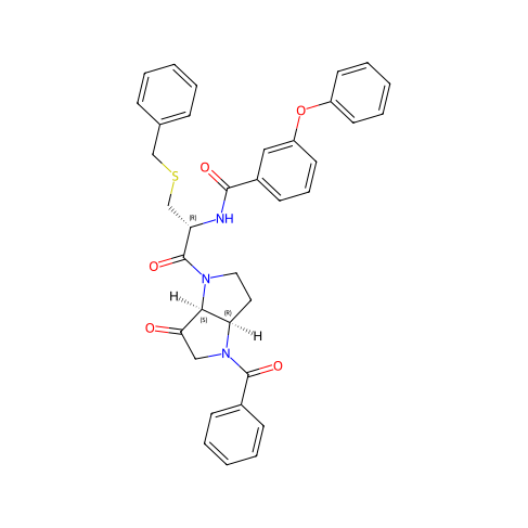 O=C(N[C@@H](CSCc1ccccc1)C(=O)N1CC[C@@H]2[C@H]1C(=O)CN2C(=O)c1ccccc1)c1cccc(Oc2ccccc2)c1